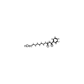 CCCCCCCCCCCCCCCCCC(=O)CC(=O)c1ccccc1